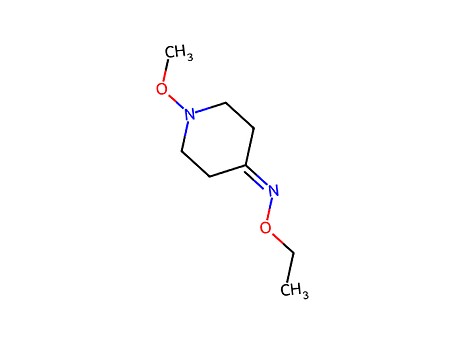 CCON=C1CCN(OC)CC1